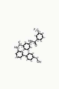 C[C@H](Nc1cncc(-c2ccc(CO)cc2)n1)c1cccc(NC(=O)c2cccc(C(F)(F)F)c2)c1